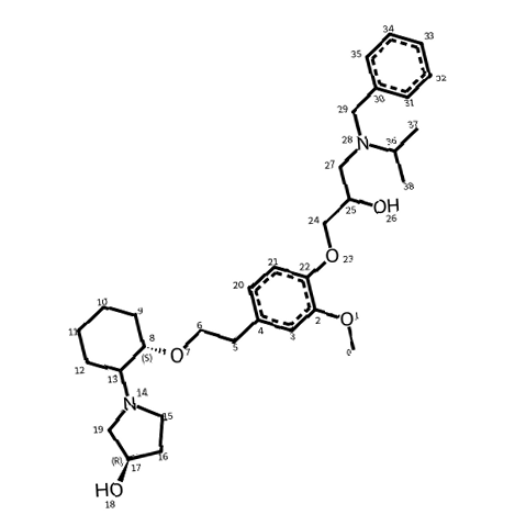 COc1cc(CCO[C@H]2CCCCC2N2CC[C@@H](O)C2)ccc1OCC(O)CN(Cc1ccccc1)C(C)C